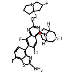 Nc1nc2c(-c3c(Cl)cc4c(N5[C@@H]6CNC[C@H]5COC6)nc(OC[C@]56CCCN5C[C@H](F)C6)nc4c3F)ccc(F)c2s1